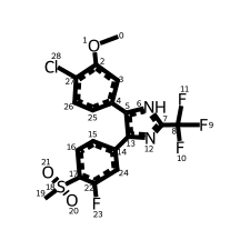 COc1cc(-c2[nH]c(C(F)(F)F)nc2-c2ccc(S(C)(=O)=O)c(F)c2)ccc1Cl